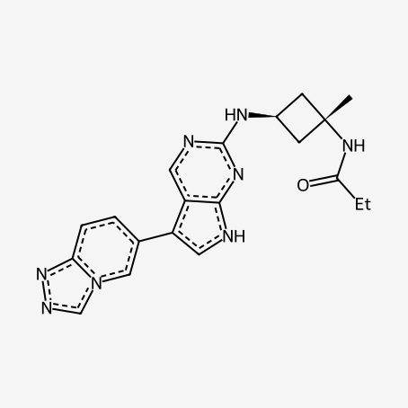 CCC(=O)N[C@]1(C)C[C@@H](Nc2ncc3c(-c4ccc5nncn5c4)c[nH]c3n2)C1